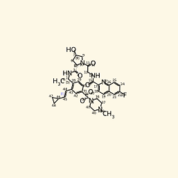 C[C@H](NC(=O)[C@@H]1C[C@@H](O)CN1C(=O)CNC(=O)c1ccc2cc(F)ccc2n1)c1ccc(S(=O)(=O)N2CCN(C)CC2)cc1/C=C/C1CC1